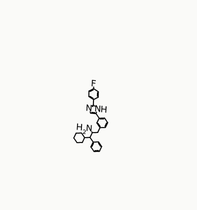 NC(Cc1cccc(-c2cnc(-c3ccc(F)cc3)[nH]2)c1)C(c1ccccc1)C1CCCCC1